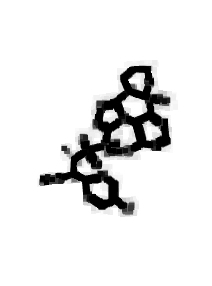 COc1ncnc(OC)c1-n1c(NS(=O)(=O)[C@@H](C)[C@H](OC)c2ncc(Cl)cn2)nnc1[C@H]1CCCOC1